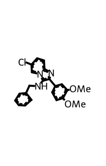 COc1ccc(-c2nc3ccc(Cl)cn3c2NCc2ccccc2)cc1OC